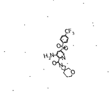 Nc1cc(S(=O)(=O)c2ccc(C(F)(F)F)cc2)cnc1C(=O)N1CC2(CCCOC2)C1